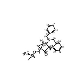 CC(C)(C)[Si](C)(C)OC[C@@]12C[C@@H]1[C@@H](N(Cc1ccccc1)Cc1ccccc1)[C@@H](F)C2=O